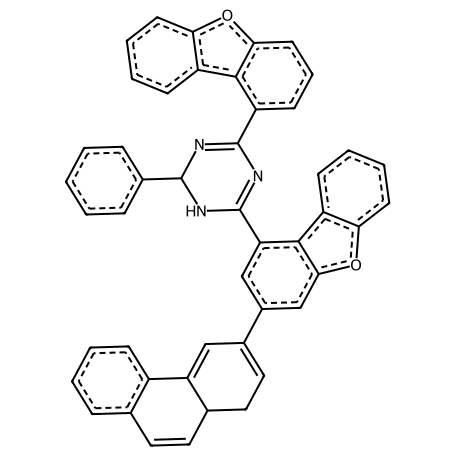 C1=CC2CC=C(c3cc(C4=NC(c5cccc6oc7ccccc7c56)=NC(c5ccccc5)N4)c4c(c3)oc3ccccc34)C=C2c2ccccc21